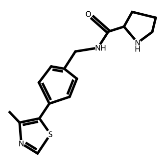 Cc1ncsc1-c1ccc(CNC(=O)C2CCCN2)cc1